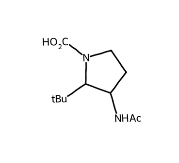 CC(=O)NC1CCN(C(=O)O)C1C(C)(C)C